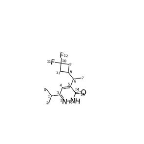 CC(C)c1cc(C(C)C2CC(F)(F)C2)c(=O)[nH]n1